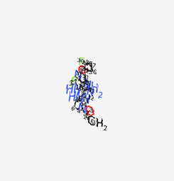 C=CC(=O)N1CCC[C@@H](Nc2ncnc(N)c2C(=N)c2ccc(Oc3ccccc3F)nc2F)C1